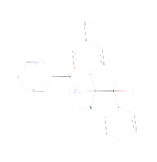 CC(C)c1ccc2c(c1)OC1(O)C3=C(CCC=C3)C(=O)C21NC(=O)c1ccccn1